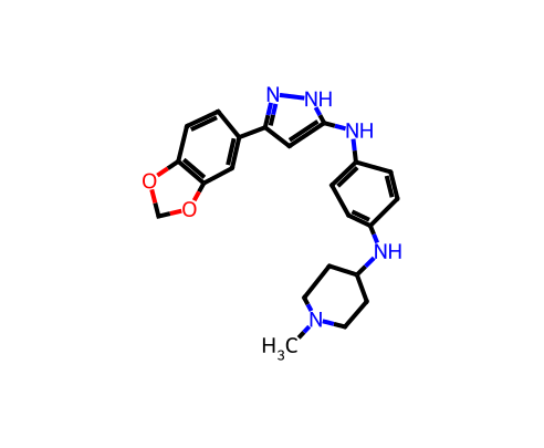 CN1CCC(Nc2ccc(Nc3cc(-c4ccc5c(c4)OCO5)n[nH]3)cc2)CC1